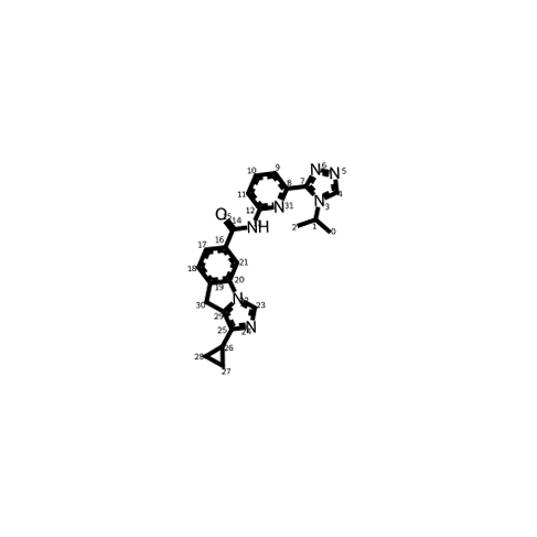 CC(C)n1cnnc1-c1cccc(NC(=O)c2ccc3c(c2)-n2cnc(C4CC4)c2C3)n1